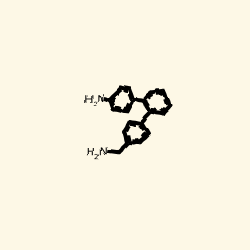 NCc1ccc(-c2ccccc2-c2ccc(N)cc2)cc1